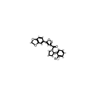 O=C(c1cc(-c2ccc3c(c2)OCO3)on1)N1CCCC1c1ccccc1Br